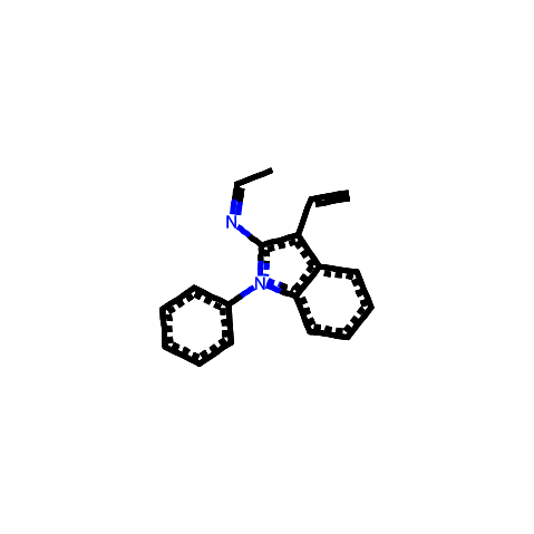 C=Cc1c(/N=C\C)n(-c2ccccc2)c2ccccc12